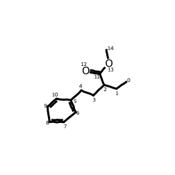 CCC(CCc1ccccc1)C(=O)OC